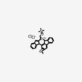 C[Si](C)(C)OCCC1=Cc2ccccc2C1c1c2c(cc3c1[Si]3(C)C)-c1ccccc1[CH]2[Zr+2].[Cl-].[Cl-]